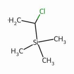 [CH2]C(Cl)[Si](C)(C)C